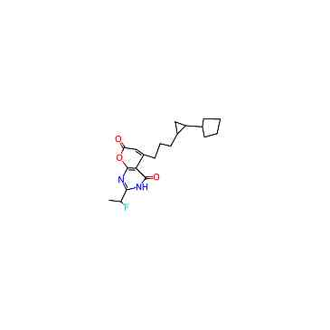 CC(F)c1nc2oc(=O)cc(CCCC3CC3C3CCCC3)c2c(=O)[nH]1